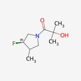 CC1CN(C(=O)C(C)(C)O)C[C@@H]1F